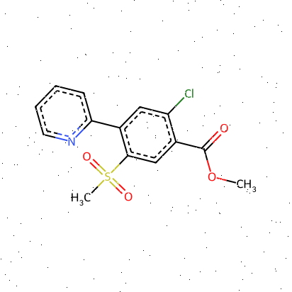 COC(=O)c1cc(S(C)(=O)=O)c(-c2ccccn2)cc1Cl